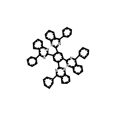 c1ccc(-c2nc(-c3cc(-c4nc(-c5ccccc5)c5ccccc5n4)c(-c4nc(-c5ccccc5)c5ccccc5n4)cc3-c3nc(-c4ccccc4)c4ccccc4n3)nc3ccccc23)cc1